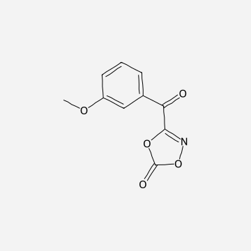 COc1cccc(C(=O)c2noc(=O)o2)c1